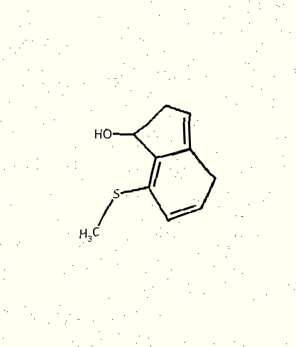 CSC1=C2C(=CCC2O)CC=C1